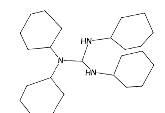 C1CCC(NC(NC2CCCCC2)N(C2CCCCC2)C2CCCCC2)CC1